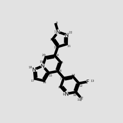 Cn1cc(-c2cc(-c3cnc(F)c(F)c3)c3ccnn3c2)cn1